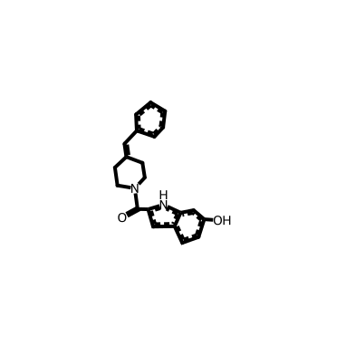 O=C(c1cc2ccc(O)cc2[nH]1)N1CCC(=Cc2ccccc2)CC1